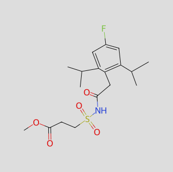 COC(=O)CCS(=O)(=O)NC(=O)Cc1c(C(C)C)cc(F)cc1C(C)C